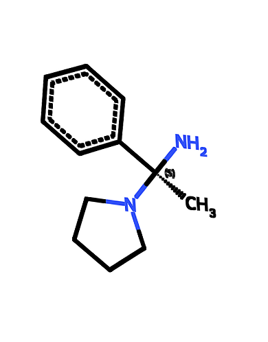 C[C@@](N)(c1ccccc1)N1CCCC1